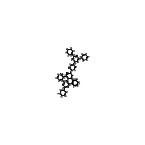 c1ccc(-c2cc(-c3ccc(-c4cc(-c5ccccc5)nc(-c5ccccc5)n4)cn3)nc(-c3ncccc3-c3nc(-c4ccccc4)nc(-c4ccccc4)n3)c2)cc1